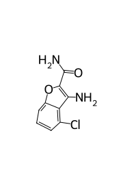 NC(=O)c1oc2cccc(Cl)c2c1N